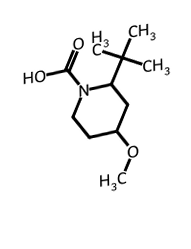 COC1CCN(C(=O)O)C(C(C)(C)C)C1